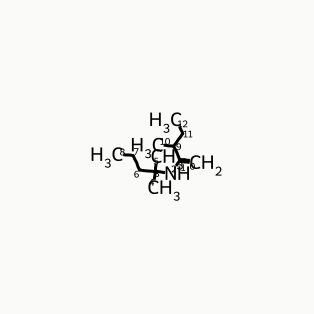 C=C(NC(C)(C)CCC)C(C)CC